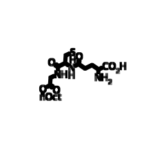 CCCCCCCCOC(=O)CNC(=O)C(CS)NC(=O)CCC(N)C(=O)O